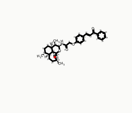 C[C@H]1[C@@H](NC(=O)COc2ccc(/C=C/C(=O)c3ccccc3)cc2)O[C@@H]2O[C@@]3(C)CC[C@H]4[C@H](C)CC[C@@H]1[C@@]24OO3